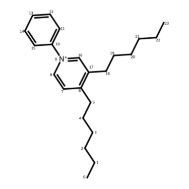 CCCCCCc1cc[n+](-c2ccccc2)cc1CCCCCC